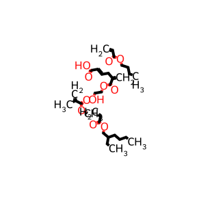 C=C(C)C(=O)OC.C=C(CC=CC(=O)O)C(=O)OCCO.C=CC(=O)OCC(CC)CCCC.C=CC(=O)OCCCC